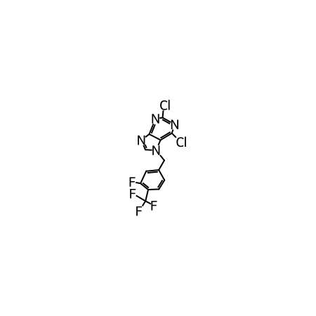 Fc1cc(Cn2cnc3nc(Cl)nc(Cl)c32)ccc1C(F)(F)F